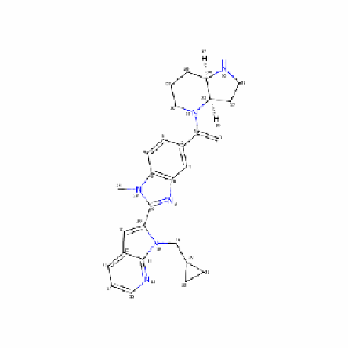 C=C(c1ccc2c(c1)nc(-c1cc3cccnc3n1CC1CC1)n2C)N1CCC[C@H]2NCC[C@H]21